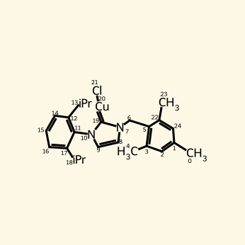 Cc1cc(C)c(Cn2ccn(-c3c(C(C)C)cccc3C(C)C)[c]2=[Cu][Cl])c(C)c1